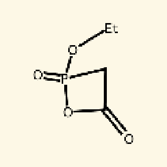 CCOP1(=O)CC(=O)O1